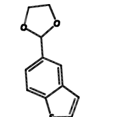 c1cc2cc(C3OCCO3)ccc2s1